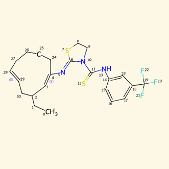 CCC1/C=C(/N=C2SCCN2C(=S)Nc2cccc(C(F)(F)F)c2)CCCC/C=C/C1